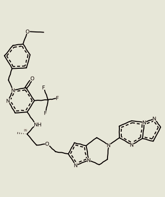 COc1ccc(Cn2ncc(N[C@@H](C)COCc3cc4n(n3)CCN(c3ccn5nccc5n3)C4)c(C(F)(F)F)c2=O)cc1